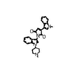 CN1CCC(n2cc(N3C(=O)C=C(c4cn(C)c5ccccc45)C3=O)c3ccccc32)CC1